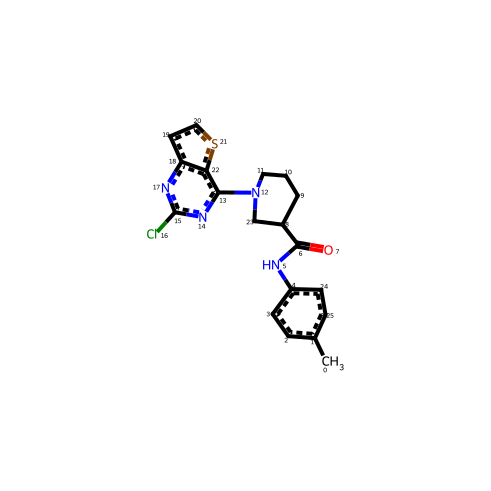 Cc1ccc(NC(=O)C2CCCN(c3nc(Cl)nc4ccsc34)C2)cc1